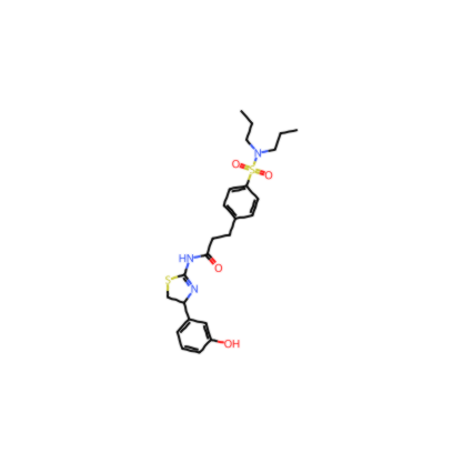 CCCN(CCC)S(=O)(=O)c1ccc(CCC(=O)NC2=NC(c3cccc(O)c3)CS2)cc1